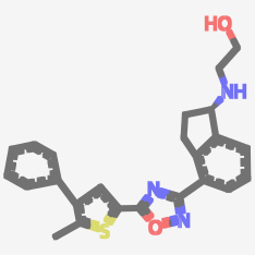 Cc1sc(-c2nc(-c3cccc4c3CC[C@H]4NCCO)no2)cc1-c1ccccc1